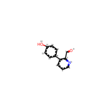 O=Cc1ncccc1-c1ccc(O)cc1